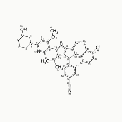 COc1nc(N2CCCC(O)C2)ncc1-c1nc2c(n1C(C)C)C(c1ccc(C#N)cc1)N(c1cccc(Cl)c1F)C2=O